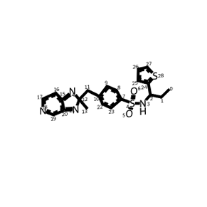 CCC(NS(=O)(=O)c1ccc(CC2(C)N=c3ccncc3=N2)cc1)c1cccs1